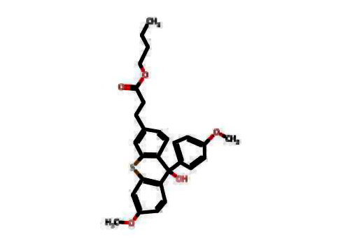 CCCCOC(=O)CCc1ccc2c(c1)Sc1cc(OC)ccc1C2(O)c1ccc(OC)cc1